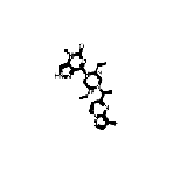 CC[C@H]1CN(C(C)c2ccn3ncc(F)c3n2)[C@H](CC)CN1c1nc(=O)n(C)c2c[nH]nc12